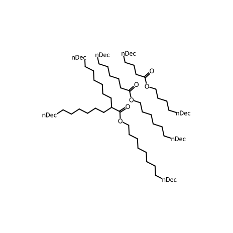 CCCCCCCCCCCCCCCCCCOC(=O)C(CCCCCCCCCCCCCCCC)CCCCCCCCCCCCCCCC.CCCCCCCCCCCCCCCCOC(=O)CCCCCCCCCCCCCCC.CCCCCCCCCCCCCCOC(=O)CCCCCCCCCCCCC